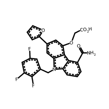 NC(=O)c1cccc2c1c1c(OCC(=O)O)cc(-c3ccco3)cc1n2Cc1cc(F)cc(F)c1F